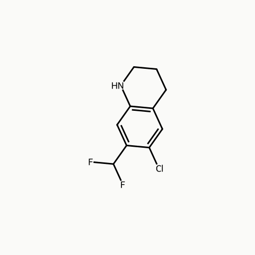 FC(F)c1cc2c(cc1Cl)CCCN2